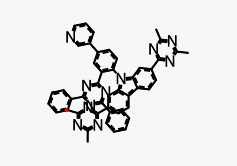 Cc1nc(C)nc(-c2ccc3c4ccc(-c5nc(C)nc(C)n5)cc4n(-c4ccc(-c5cccnc5)cc4-c4nc(-c5ccccc5)nc(-c5ccccc5)n4)c3c2)n1